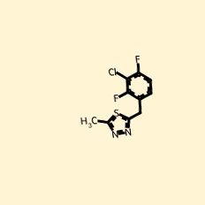 Cc1nnc(Cc2ccc(F)c(Cl)c2F)s1